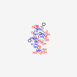 N[C@@H](CNC(=O)[C@H](CCc1ccccc1)NC(=O)[C@H](Cc1ccccc1)NC(=O)CNC(=O)CC[C@@H](NC(=O)[C@H](CCc1ccccc1)NC(=O)CC[C@H](NC(=O)N[C@@H](CCC(=O)O)C(=O)O)C(=O)O)C(=O)O)C(=O)N[C@@H](CC(=O)O)C(=O)N[C@@H](CS)C(=O)O